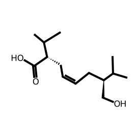 CC(C)[C@@H](CO)C/C=C\C[C@H](C(=O)O)C(C)C